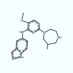 COc1cnc(N2CCNCC(C)C2)nc1Nc1ccc2[nH]ncc2c1